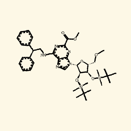 COC[C@H]1O[C@@H](n2cnc3c(NCC(c4ccccc4)c4ccccc4)nc(C(=O)OC)nc32)[C@H](O[Si](C)(C)C(C)(C)C)[C@@H]1O[Si](C)(C)C(C)(C)C